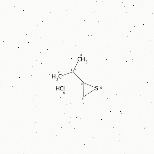 CC(C)C1CS1.Cl